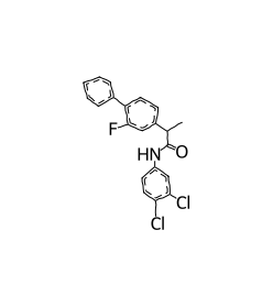 CC(C(=O)Nc1ccc(Cl)c(Cl)c1)c1ccc(-c2ccccc2)c(F)c1